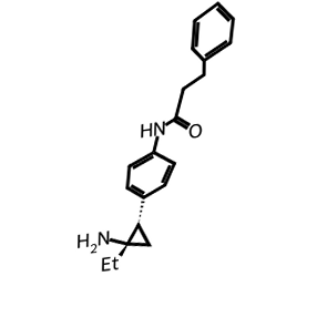 CC[C@]1(N)C[C@H]1c1ccc(NC(=O)CCc2ccccc2)cc1